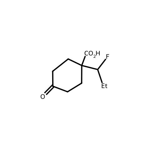 CCC(F)C1(C(=O)O)CCC(=O)CC1